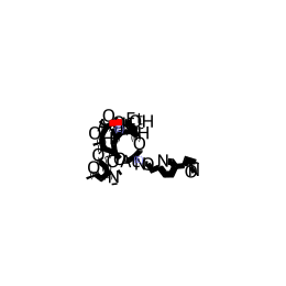 CC[C@H]1OC(=O)[C@H](C)C(=O)[C@H](C)[C@@H](O[C@@H]2O[C@H](C)C[C@H](N(C)C)[C@H]2OC(C)=O)[C@@]2(C)C[C@@H](C)/C(=N\C(C)=O)[C@H](C)[C@@H](OC/C(=N\OCc3ccc(-c4ccno4)cn3)CO2)[C@]1(C)O